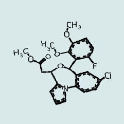 COC(=O)CC1OC(c2c(F)ccc(OC)c2OC)c2cc(Cl)ccc2-n2cccc21